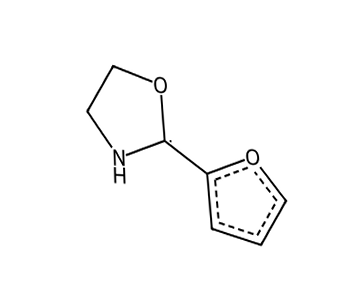 c1coc([C]2NCCO2)c1